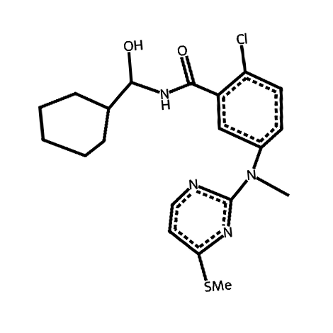 CSc1ccnc(N(C)c2ccc(Cl)c(C(=O)NC(O)C3CCCCC3)c2)n1